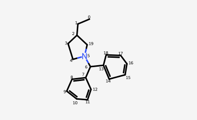 CCC1CCN(C(c2ccccc2)c2ccccc2)C1